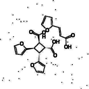 O=C(O)C=Cc1ccco1.O=C(O)[C@H]1[C@H](C(=O)O)[C@H](c2ccco2)[C@H]1c1ccco1